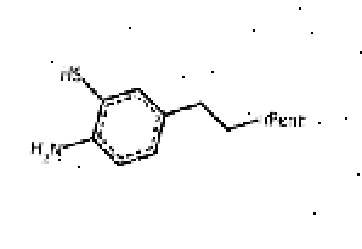 CCCCCCCc1ccc(N)c(S)c1